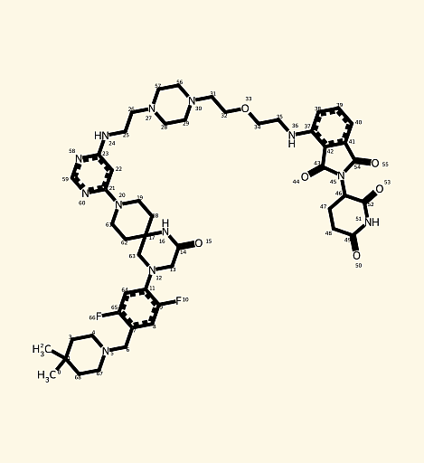 CC1(C)CCN(Cc2cc(F)c(N3CC(=O)NC4(CCN(c5cc(NCCN6CCN(CCOCCNc7cccc8c7C(=O)N(C7CCC(=O)NC7=O)C8=O)CC6)ncn5)CC4)C3)cc2F)CC1